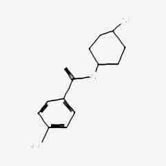 CCCCc1ccc(C(=O)NC2CCC(N)CC2)cc1